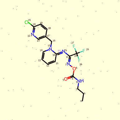 CCCNC(=O)ON=C(/N=c1\ccccn1Cc1ccc(Cl)nc1)C(F)(F)F